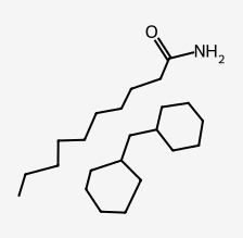 C1CCC(CC2CCCCC2)CC1.CCCCCCCCCC(N)=O